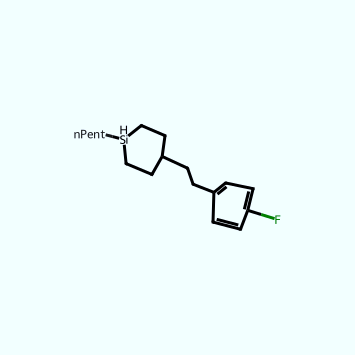 CCCCC[SiH]1CCC(CCc2ccc(F)cc2)CC1